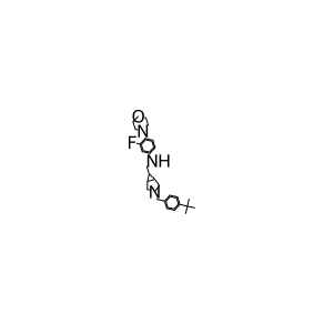 CC(C)(C)c1ccc(CN2CC3C(CNc4ccc(N5CCOCC5)c(F)c4)C3C2)cc1